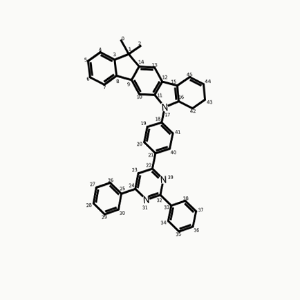 CC1(C)c2ccccc2-c2cc3c(cc21)c1c(n3-c2ccc(-c3cc(-c4ccccc4)nc(-c4ccccc4)n3)cc2)CCC=C1